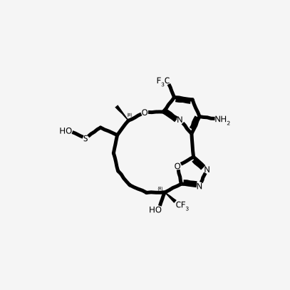 C[C@H]1Oc2nc(c(N)cc2C(F)(F)F)-c2nnc(o2)[C@@](O)(C(F)(F)F)CCCCC1CSO